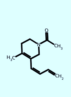 C=C/C=C\C1=C(C)CCN(C(C)=O)C1